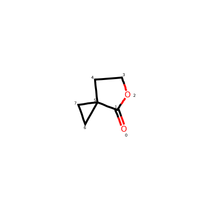 O=C1OCCC12CC2